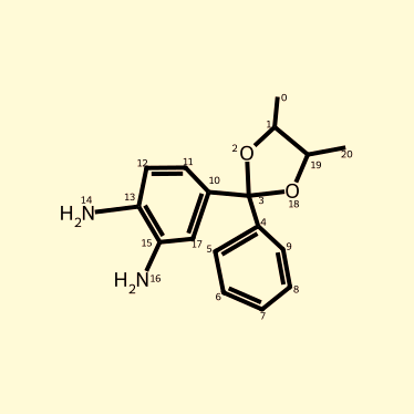 CC1OC(c2ccccc2)(c2ccc(N)c(N)c2)OC1C